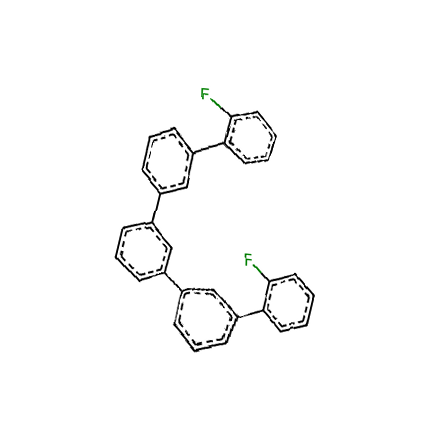 Fc1ccccc1-c1cccc(-c2cccc(-c3cccc(-c4ccccc4F)c3)c2)c1